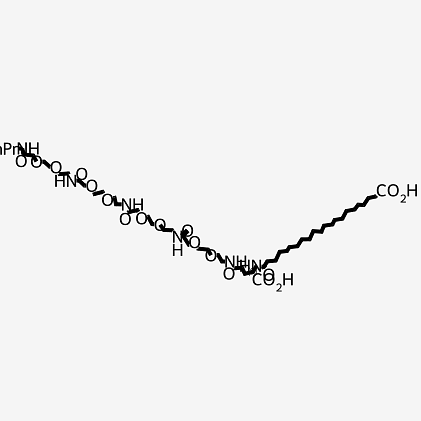 CCCNC(=O)COCCOCCNC(=O)COCCOCCNC(=O)COCCOCCNC(=O)COCCOCCNC(=O)CC[C@H](NC(=O)CCCCCCCCCCCCCCCCCCCCC(=O)O)C(=O)O